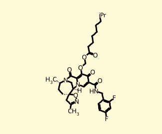 CC1=NO[C@@]2(CC[C@H](C)N3C[C@H]2n2cc(C(=O)NCc4ccc(F)cc4F)c(=O)c(OCOC(=O)CCCCCCC(C)C)c2C3=O)C1